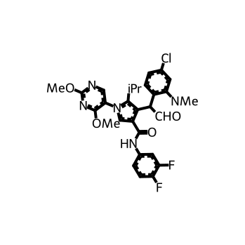 CNc1cc(Cl)ccc1C(C=O)c1c(C(=O)Nc2ccc(F)c(F)c2)cn(-c2cnc(OC)nc2OC)c1C(C)C